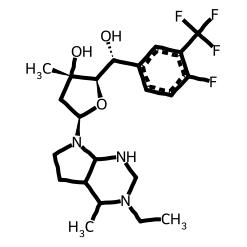 CCN1CNC2C(CCN2[C@H]2C[C@](C)(O)[C@@H]([C@H](O)c3ccc(F)c(C(F)(F)F)c3)O2)C1C